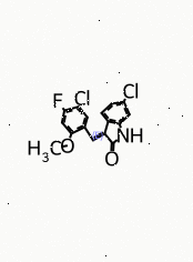 COc1cc(F)c(Cl)cc1/C=C1/C(=O)Nc2cc(Cl)ccc21